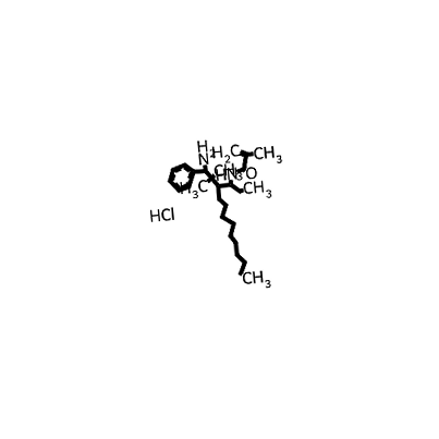 C=C(C)C(=O)NC(CC)C(CCCCCCCCCC)C(C)(C)C(N)c1ccccc1.Cl